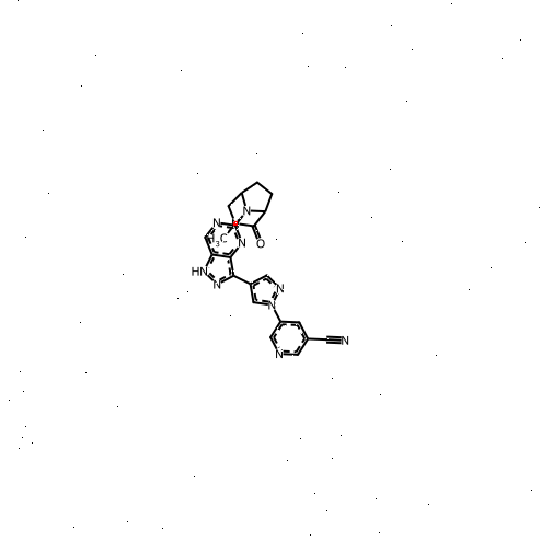 CN1CC2CCC(C1=O)N2c1ncc2[nH]nc(-c3cnn(-c4cncc(C#N)c4)c3)c2n1